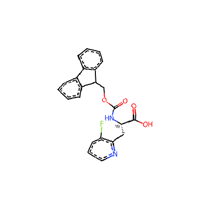 O=C(N[C@@H](Cc1ncccc1F)C(=O)O)OCC1c2ccccc2-c2ccccc21